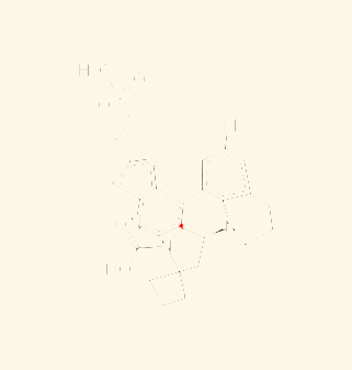 CS(=O)(=O)OCc1cc2nccc(-c3cc(Cl)cc4c3N([C@@H]3CN(C(=O)O)C5(CCC5)C3)CCC4)c2s1